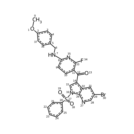 COc1ccc(CNc2ccc(C(=O)c3cn(S(=O)(=O)c4ccccc4)c4ncc(Br)cc34)c(F)n2)cc1